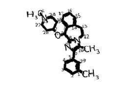 Cc1cccc(-c2nc3n(c2C)CCc2ccccc2C3OC2CCN(C)CC2)c1